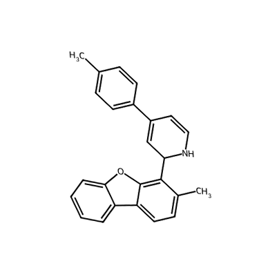 Cc1ccc(C2=CC(c3c(C)ccc4c3oc3ccccc34)NC=C2)cc1